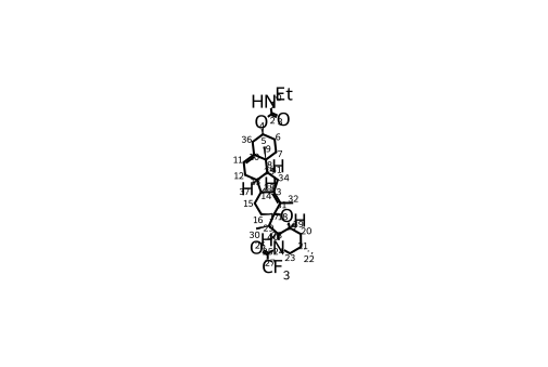 CCNC(=O)O[C@H]1CC[C@@]2(C)C(=CC[C@H]3[C@@H]4CC[C@]5(O[C@@H]6C[C@H](C)CN(C(=O)C(F)(F)F)[C@H]6[C@H]5C)C(C)=C4C[C@@H]32)C1